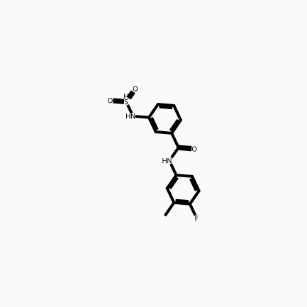 Cc1cc(NC(=O)c2cccc(N[SH](=O)=O)c2)ccc1F